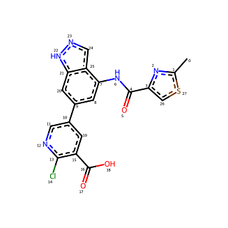 Cc1nc(C(=O)Nc2cc(-c3cnc(Cl)c(C(=O)O)c3)cc3[nH]ncc23)cs1